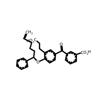 C=CCCCC(Oc1ccc(C(=O)c2cccc(C(=O)O)c2)cc1CCC(=O)O)c1ccccc1